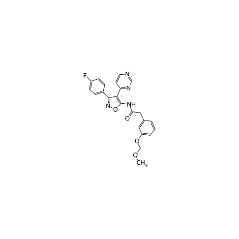 COCOc1cccc(CC(=O)Nc2onc(-c3ccc(F)cc3)c2-c2ccncn2)c1